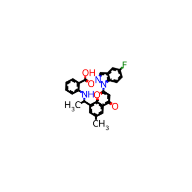 Cc1cc(C(C)Nc2ccccc2C(=O)O)c2oc(-n3ncc4cc(F)ccc43)cc(=O)c2c1